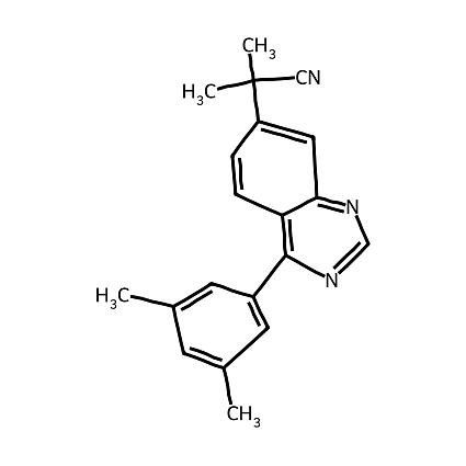 Cc1cc(C)cc(-c2ncnc3cc(C(C)(C)C#N)ccc23)c1